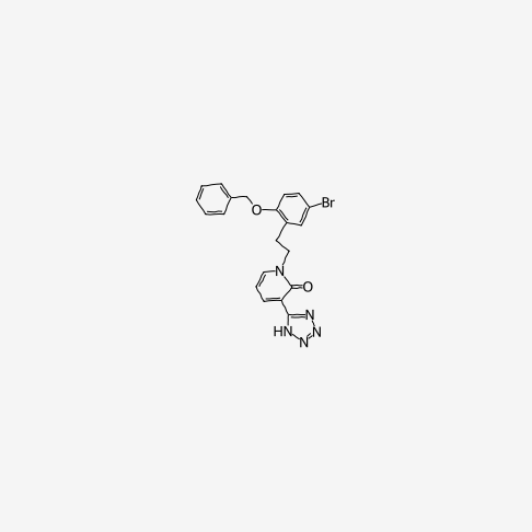 O=c1c(-c2nnn[nH]2)cccn1CCc1cc(Br)ccc1OCc1ccccc1